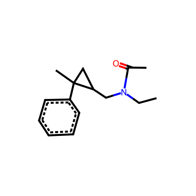 CCN(CC1CC1(C)c1ccccc1)C(C)=O